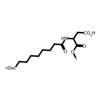 CCCCCCCCCCCCCCCCCC(=O)NC(CC(=O)O)C(=O)OI